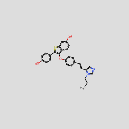 CCCn1cncc1C=Cc1ccc(Oc2c(-c3ccc(O)cc3)sc3cc(O)ccc23)cc1